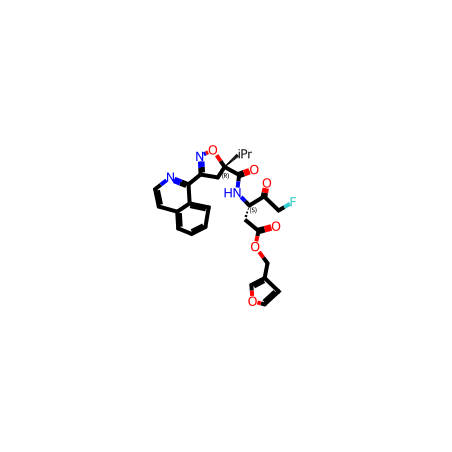 CC(C)[C@@]1(C(=O)N[C@@H](CC(=O)OCc2ccoc2)C(=O)CF)CC(c2nccc3ccccc23)=NO1